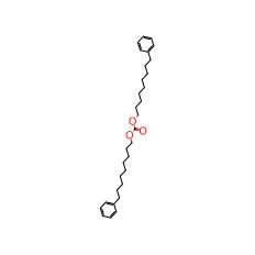 O=C(OCCCCCCCCCc1ccccc1)OCCCCCCCCCc1ccccc1